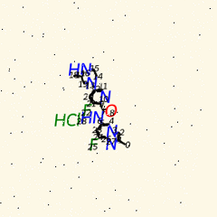 Cc1cn2cc(NC(=O)c3ncc(N4CCNC(C)C4)cc3F)cc(F)c2n1.Cl